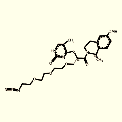 COc1ccc2c(c1)CCN(C(=O)[C@H](COCCOCCOCCN=[N+]=[N-])Sc1nc(=O)[nH]cc1C)[C@@H]2C